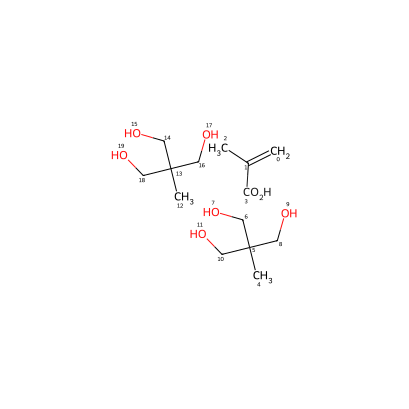 C=C(C)C(=O)O.CC(CO)(CO)CO.CC(CO)(CO)CO